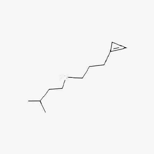 CC(C)CCNCCCC1=CC1